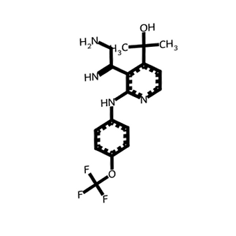 CC(C)(O)c1ccnc(Nc2ccc(OC(F)(F)F)cc2)c1C(=N)CN